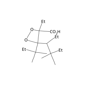 CCC(C(C)(C)CC)C1(C(C)(C)CC)OOC1(CC)C(=O)O